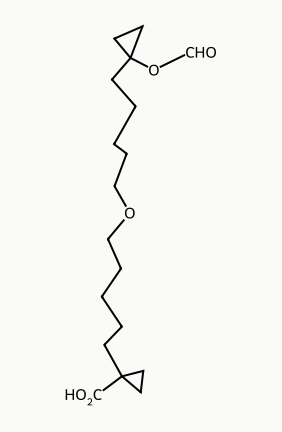 O=COC1(CCCCCOCCCCCC2(C(=O)O)CC2)CC1